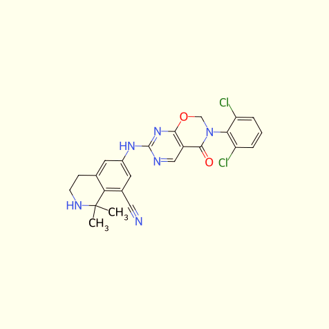 CC1(C)NCCc2cc(Nc3ncc4c(n3)OCN(c3c(Cl)cccc3Cl)C4=O)cc(C#N)c21